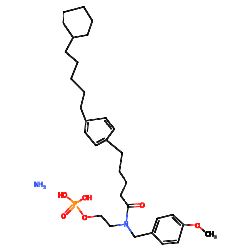 COc1ccc(CN(CCOP(=O)(O)O)C(=O)CCCCc2ccc(CCCCCC3CCCCC3)cc2)cc1.N